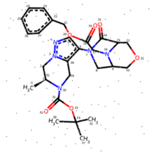 C[C@H]1Cn2ncc(N3CC4COCC(C3=O)N4CC(=O)OCc3ccccc3)c2CN1C(=O)OC(C)(C)C